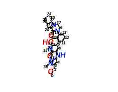 COCc1cc(Nc2cc(-c3cccc(N4CCn5c(cc6c5CCCC6)C4=O)c3CO)cn(C)c2=O)nn1C